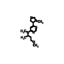 COCCC(C)N(C)c1cc(C2CN=CN2C)ncn1